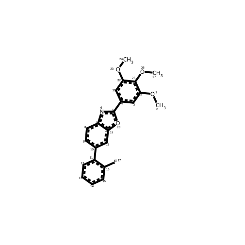 COc1cc(-c2nc3ccc(-c4ccccc4F)cc3o2)cc(OC)c1OC